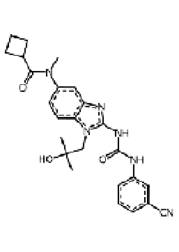 CN(C(=O)C1CCC1)c1ccc2c(c1)nc(NC(=O)Nc1cccc(C#N)c1)n2CC(C)(C)O